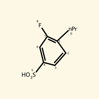 CCCc1ccc(S(=O)(=O)O)cc1F